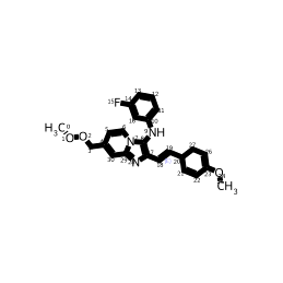 COOCc1ccn2c(Nc3cccc(F)c3)c(/C=C/C3C=CC(OC)=CC3)nc2c1